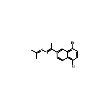 CCc1ccc(CC)c2cc(/C(C)=N/N=C(C)C)ccc12